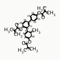 C=C(C)C(=O)OC1=CC=C(c2cc(-c3ccc(OC(=O)C(=C)C)cc3)ccc2OC(=O)C(=C)C)C(C)C1